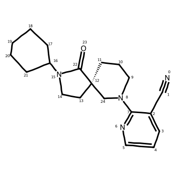 N#Cc1cccnc1N1CCC[C@@]2(CCN(C3CCCCC3)C2=O)C1